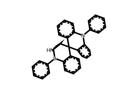 c1ccc(B2c3ccccc3C3(c4ccccc4N(c4ccccc4)c4ccccc43)C3CCCNC23)cc1